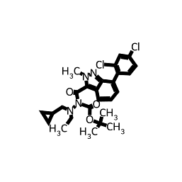 CCN(CC1CC1)N(C(=O)OC(C)(C)C)C(=O)c1c2cccc(-c3ccc(Cl)cc3Cl)c2nn1C